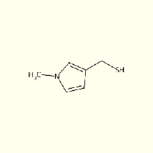 Cn1ccc(CS)c1